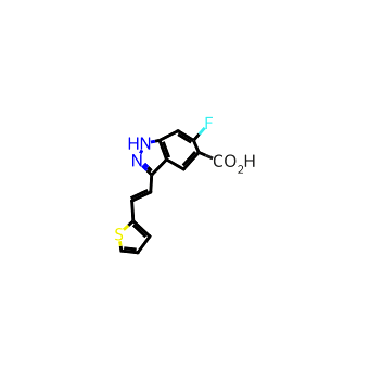 O=C(O)c1cc2c(/C=C/c3cccs3)n[nH]c2cc1F